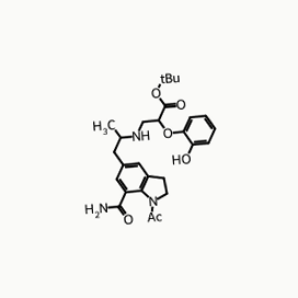 CC(=O)N1CCc2cc(CC(C)NCC(Oc3ccccc3O)C(=O)OC(C)(C)C)cc(C(N)=O)c21